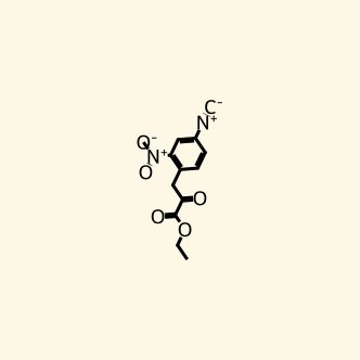 [C-]#[N+]c1ccc(CC(=O)C(=O)OCC)c([N+](=O)[O-])c1